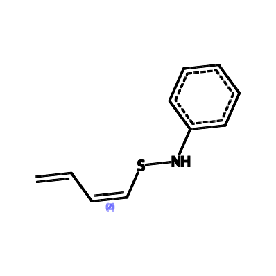 C=C/C=C\SNc1ccccc1